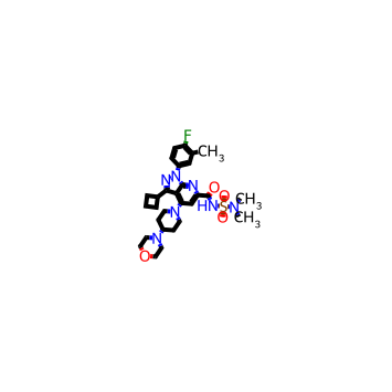 Cc1cc(-n2nc(C3CCC3)c3c(N4CCC(N5CCOCC5)CC4)cc(C(=O)NS(=O)(=O)N(C)C)nc32)ccc1F